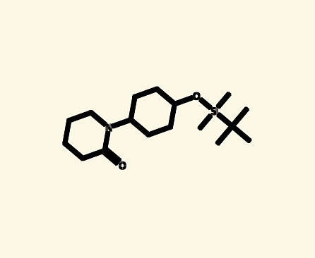 CC(C)(C)[Si](C)(C)OC1CCC(N2CCCCC2=O)CC1